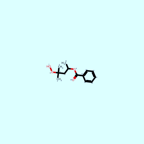 CC(CC(C)(C)OO)OC(=O)c1ccccc1